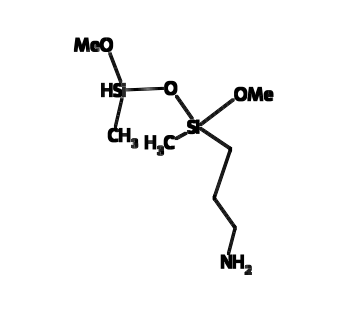 CO[SiH](C)O[Si](C)(CCCN)OC